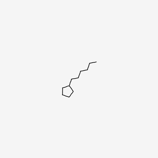 CCCCCCC1CCCC1